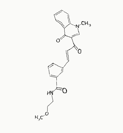 COCCNC(=O)c1cccc(/C=C/C(=O)c2cn(C)c3ccccc3c2=O)c1